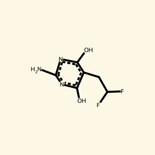 Nc1nc(O)c(CC(F)F)c(O)n1